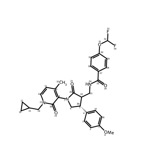 COc1ccc([C@@H]2CN(c3c(C)ccn(CC4CC4)c3=O)C(=O)C2CNC(=O)c2ccc(OC(F)F)cc2)cc1